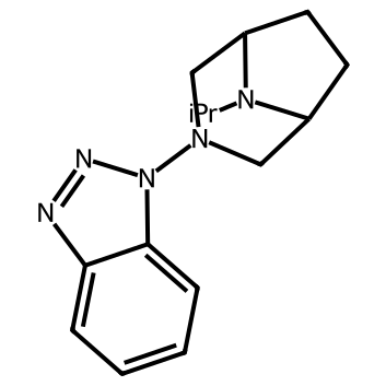 CC(C)N1C2CCC1CN(n1nnc3ccccc31)C2